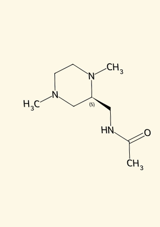 CC(=O)NC[C@H]1CN(C)CCN1C